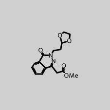 COC(=O)Cc1nn(CCC2OCCO2)c(=O)c2ccccc12